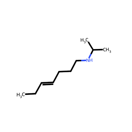 CC/C=C/CCCNC(C)C